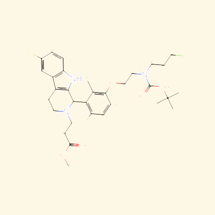 COC(=O)CCN1CCc2c([nH]c3ccc(F)cc23)C1c1c(F)ccc(OCCN(CCCF)C(=O)OC(C)(C)C)c1C